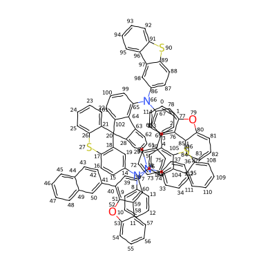 c1ccc(-c2cc(N(c3ccccc3)c3ccc4c(c3)C3(c5ccccc5S4)c4cc(N(c5ccccc5)c5cc(-c6ccc7ccccc7c6)c6oc7ccccc7c6c5)ccc4-c4c(N(c5cc(-c6ccccc6)c6c(c5)oc5ccccc56)c5ccc6sc7ccccc7c6c5)cccc43)cc3c2sc2ccccc23)cc1